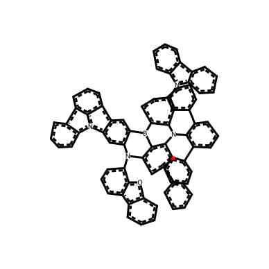 c1ccc(-c2cc3c4c(c2)N(c2cccc5c2oc2ccccc25)c2cc5c(cc2B4c2ccc(-n4c6ccccc6c6ccccc64)cc2N3c2c(-c3ccccc3)cccc2-c2ccccc2)c2cccc3c4ccccc4n5c32)cc1